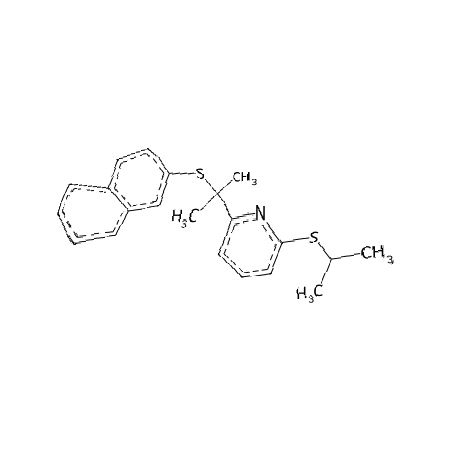 CC(C)Sc1cccc(C(C)(C)Sc2ccc3ccccc3c2)n1